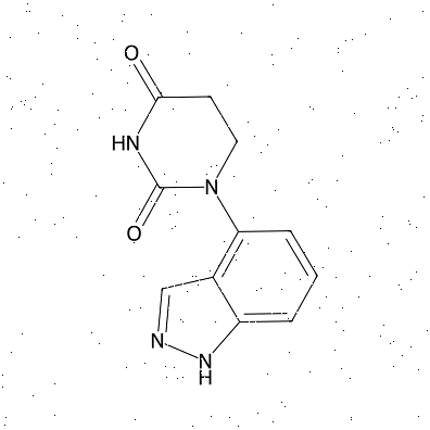 O=C1CCN(c2cccc3[nH]ncc23)C(=O)N1